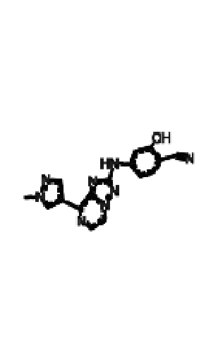 Cn1cc(-c2nccn3nc(Nc4ccc(C#N)c(O)c4)nc23)cn1